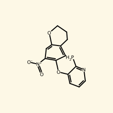 O=[N+]([O-])c1cc2c(cc1Oc1cccnc1P)CCCO2